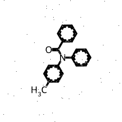 Cc1ccc(N(C(=O)c2ccccc2)c2ccccc2)cc1